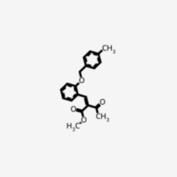 COC(=O)C(=Cc1ccccc1OCc1ccc(C)cc1)C(C)=O